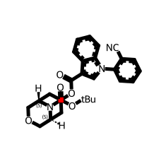 CC(C)(C)OC(=O)N1[C@@H]2COC[C@@H]1CC(OC(=O)c1cn(-c3ccccc3C#N)c3ccccc13)C2